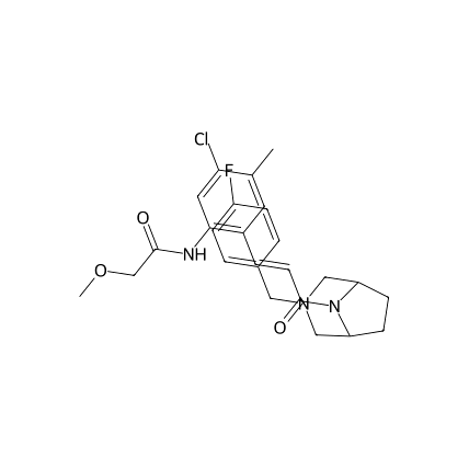 COCC(=O)Nc1cc(Cl)c(C)cc1C=CC(=O)N1C2CCC1CN(Cc1ccc(F)cc1)C2